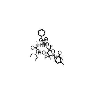 CCC(CC)OC(=O)[C@H](C)N[P@](=O)(OC[C@@]1(F)O[C@@H](n2ccc(C)nc2=O)[C@](C)(F)[C@@H]1O)Oc1ccccc1